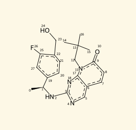 C[C@H](Nc1ncc2ccc(=O)n(CC(C)(C)C)c2n1)c1ccc(CO)c(F)c1